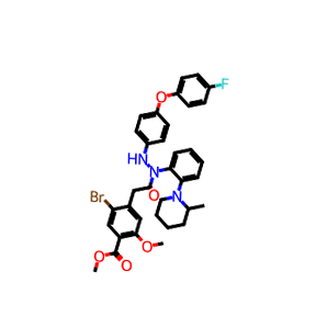 COC(=O)c1cc(Br)c(CC(=O)N(Nc2ccc(Oc3ccc(F)cc3)cc2)c2ccccc2N2CCCCC2C)cc1OC